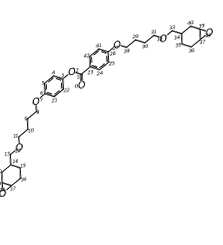 O=C(Oc1ccc(OCCCCOCC2CCC3OC3C2)cc1)c1ccc(OCCCCOCC2CCC3OC3C2)cc1